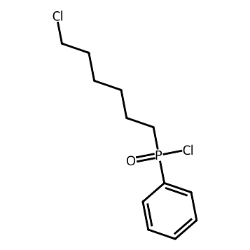 O=P(Cl)(CCCCCCCl)c1ccccc1